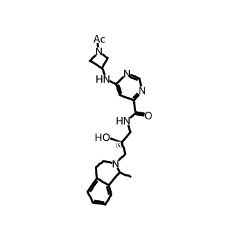 CC(=O)N1CC(Nc2cc(C(=O)NC[C@H](O)CN3CCc4ccccc4C3C)ncn2)C1